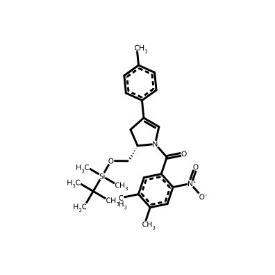 Cc1ccc(C2=CN(C(=O)c3cc(C)c(C)cc3[N+](=O)[O-])[C@H](CO[Si](C)(C)C(C)(C)C)C2)cc1